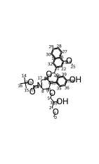 COC[C@H](O)CO[C@@H]1CN(C(=O)OC(C)(C)C)C[C@H](OCc2cc(OC)c3ccccc3c2)[C@H]1c1ccc(O)cc1